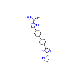 CC(C)[C@H](N)c1ncc(-c2ccc(-c3ccc(-c4cnc([C@@H]5CCCN5)[nH]4)cc3)cc2)[nH]1